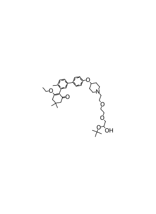 CCOC1=C(c2cc(-c3ccc(OC4CCN(CCOCCOCC(O)OC(C)(C)C)CC4)cc3)ccc2C)C(=O)CC(C)(C)C1